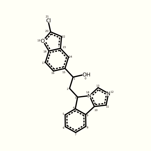 OC(CC1c2ccccc2-c2cncn21)c1ccc2oc(Cl)cc2c1